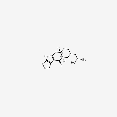 CC(C)(C)C(O)CN1CC[C@H]2Cc3[nH]c4c(c3C(=S)[C@@H]2C1)CCC4